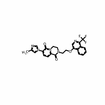 Cc1cn(-c2ccc3n(c2=O)CCN(CCOc2cnc(C(F)(F)F)c4ccccc24)C3=O)cn1